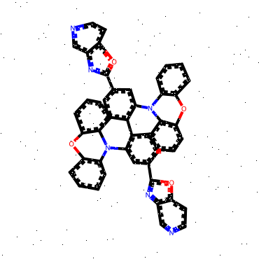 c1ccc2c(c1)Oc1ccccc1N2c1cc(-c2nc3cnccc3o2)ccc1-c1ccc(-c2nc3cnccc3o2)cc1N1c2ccccc2Oc2ccccc21